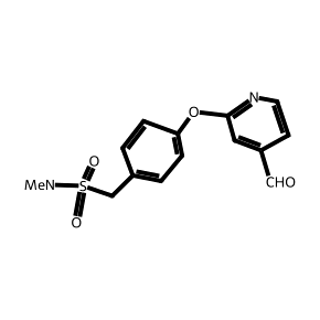 CNS(=O)(=O)Cc1ccc(Oc2cc(C=O)ccn2)cc1